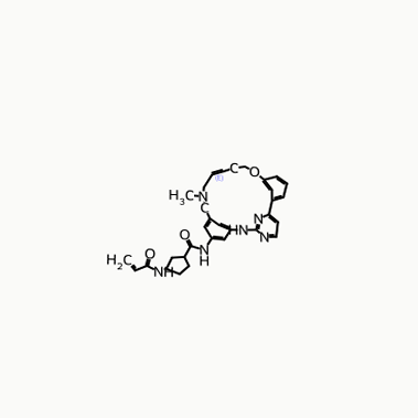 C=CC(=O)NC1CCC(C(=O)Nc2cc3cc(c2)Nc2nccc(n2)-c2cccc(c2)OCC/C=C/CN(C)C3)C1